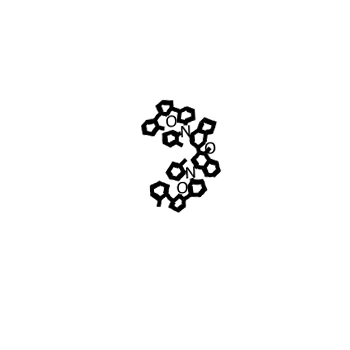 Cc1ccccc1C1=CC=CC2c3cccc(N(C4=CC5C(OC6c7ccccc7C(N(C7=CC=CC8C7OC7C(c9ccccc9C)=CC=CC78)c7ccccc7C)=CC65)c5ccccc54)c4ccccc4C)c3OC12